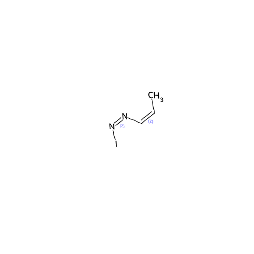 C/C=C\N=N/I